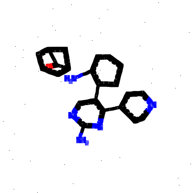 Nc1ncc(-c2ccccc2N)c(-c2ccncc2)n1.O=C1c2cccc1c2